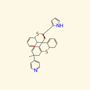 CC1(c2ccncc2)C=CC2=C(C1)SC1CC=CC=C1C21C2=C=CC(c3ccc[nH]3)=CC2SC2C=CC=CC21